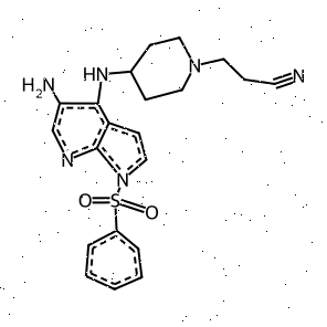 N#CCCN1CCC(Nc2c(N)cnc3c2ccn3S(=O)(=O)c2ccccc2)CC1